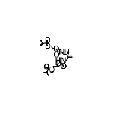 C=C(C)C(=O)OCCOC(=O)NCC(=C)C(=C)CNC(=O)OCCOC(=O)C(=C)C